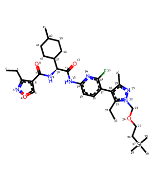 CCc1nocc1C(=O)N[C@H](C(=O)Nc1ccc(-c2c(C)nn(COCC[Si](C)(C)C)c2CC)c(F)n1)C1CCC(C)CC1